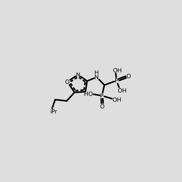 CC(C)CCc1cc(NC(P(=O)(O)O)P(=O)(O)O)no1